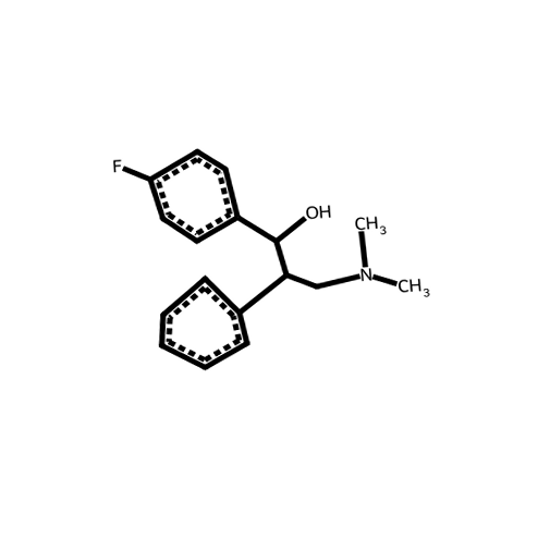 CN(C)CC(c1ccccc1)C(O)c1ccc(F)cc1